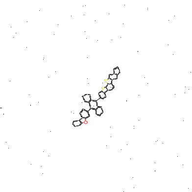 c1ccc2cc3c(cc2c1)sc1c3ccc2c3ccc(-c4c5ccccc5c(-c5ccc6c(c5)oc5ccccc56)c5ccccc45)cc3sc21